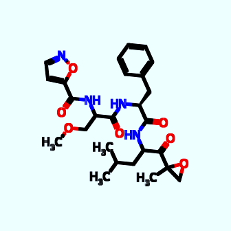 COCC(NC(=O)c1ccno1)C(=O)N[C@@H](Cc1ccccc1)C(=O)NC(CC(C)C)C(=O)C1(C)CO1